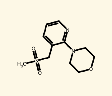 CS(=O)(=O)Cc1cccnc1N1CCOCC1